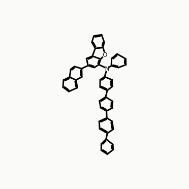 c1ccc(-c2ccc(-c3ccc(-c4ccc(N(c5ccccc5)c5cc(-c6ccc7ccccc7c6)cc6c5oc5ccccc56)cc4)cc3)cc2)cc1